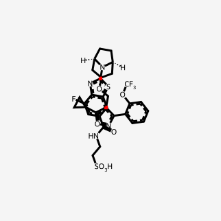 O=C(NCCS(=O)(=O)O)c1cc(F)c2nc(N3[C@@H]4CC[C@H]3C[C@@H](OCc3c(-c5ccccc5OC(F)(F)F)noc3C3CC3)C4)sc2c1